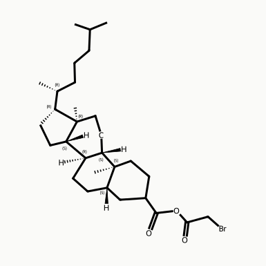 CC(C)CCC[C@@H](C)[C@H]1CC[C@H]2[C@@H]3CC[C@H]4CC(C(=O)OC(=O)CBr)CC[C@]4(C)[C@H]3CC[C@]12C